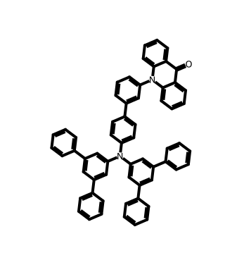 O=c1c2ccccc2n(-c2cccc(-c3ccc(N(c4cc(-c5ccccc5)cc(-c5ccccc5)c4)c4cc(-c5ccccc5)cc(-c5ccccc5)c4)cc3)c2)c2ccccc12